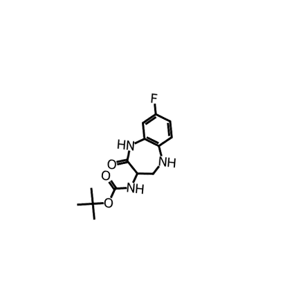 CC(C)(C)OC(=O)NC1CNc2ccc(F)cc2NC1=O